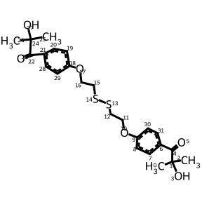 CC(C)(O)C(=O)c1ccc(OCCSSCCOc2ccc(C(=O)C(C)(C)O)cc2)cc1